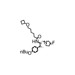 CCCCOc1ccc([C@@H](C)[C@@H](CN2CC[C@@H](F)C2)NC(=O)CCCCCOC2CCC2)cc1